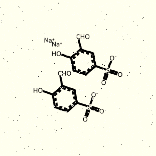 O=Cc1cc(S(=O)(=O)[O-])ccc1O.O=Cc1cc(S(=O)(=O)[O-])ccc1O.[Na+].[Na+]